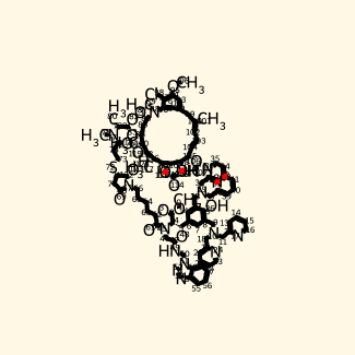 COC(=O)[C@H](Cc1cc(CN(Cc2ccccn2)Cc2ccccn2)c(O)c(CN(Cc2ccccn2)Cc2ccccn2)c1)N(CC(=O)NCn1nnc2ccccc21)C(=O)CCCCCN1C(=O)CC(SCCC(=O)N(C)[C@H](C)C(=O)O[C@@H]2CC(=O)N(C)c3cc(cc(OC)c3Cl)C/C(C)=C/C=C/[C@H](OC)[C@]3(O)C[C@@H](OC(=O)N3)[C@H](C)[C@H]3O[C@@]32C)C1=O